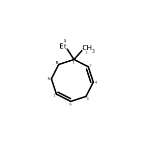 CCC1(C)C=CCC=CCC1